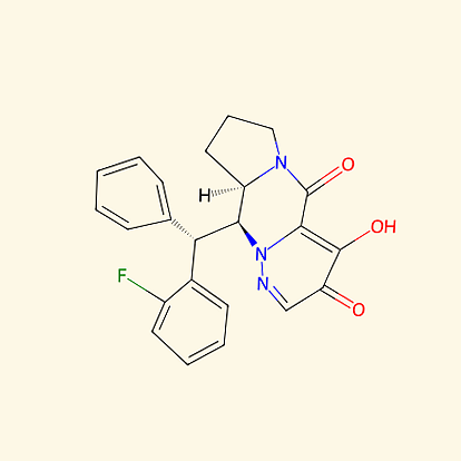 O=C1c2c(O)c(=O)cnn2[C@@H]([C@@H](c2ccccc2)c2ccccc2F)[C@H]2CCCN12